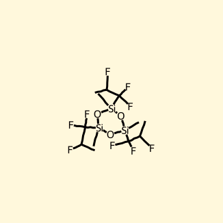 CC(F)C(F)(F)[Si]1(C)O[Si](C)(C(F)(F)C(C)F)O[Si](C)(C(F)(F)C(C)F)O1